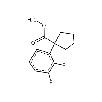 COC(=O)C1(c2cccc(F)c2F)CCCC1